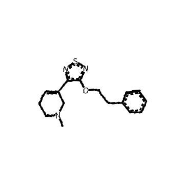 CN1CCC=C(c2nsnc2OCCc2ccccc2)C1